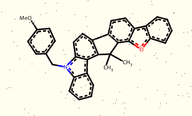 COc1ccc(Cn2c3ccccc3c3c4c(ccc32)-c2ccc3c(oc5ccccc53)c2C4(C)C)cc1